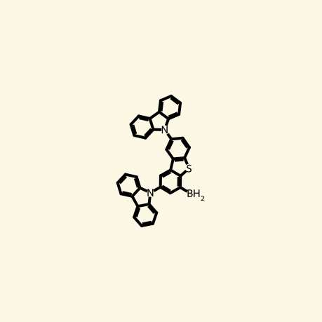 Bc1cc(-n2c3ccccc3c3ccccc32)cc2c1sc1ccc(-n3c4ccccc4c4ccccc43)cc12